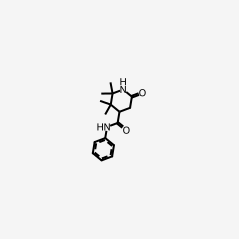 CC1(C)NC(=O)CC(C(=O)Nc2ccccc2)C1(C)C